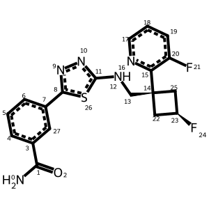 NC(=O)c1cccc(-c2nnc(NC[C@]3(c4ncccc4F)C[C@H](F)C3)s2)c1